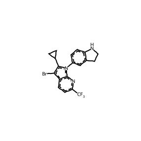 FC(F)(F)c1ccc2c(Br)c(C3CC3)n(-c3ccc4c(c3)CCN4)c2n1